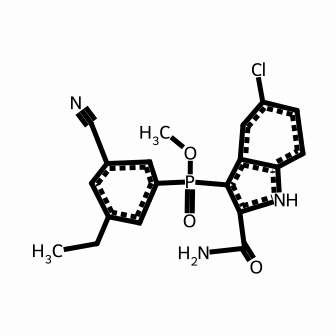 CCc1cc(C#N)cc(P(=O)(OC)c2c(C(N)=O)[nH]c3ccc(Cl)cc23)c1